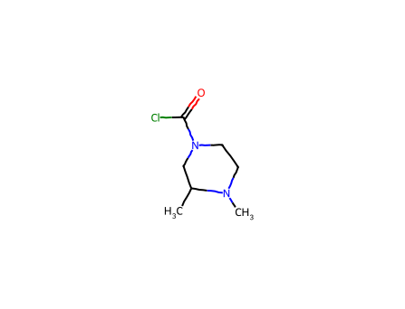 CC1CN(C(=O)Cl)CCN1C